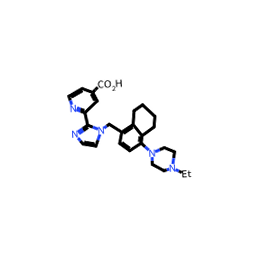 CCN1CCN(c2ccc(Cn3ccnc3-c3cc(C(=O)O)ccn3)c3c2CCCC3)CC1